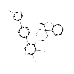 Cn1cc(-c2ccc(-c3cnc(N)c(Cl)c3N3CCC4(CC3)C(=O)Nc3ccccc34)cc2)cn1